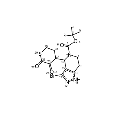 CC(C)(C)OC(=O)N1CCc2[nH]nc(Br)c2C1C1CCSC(=O)C1=O